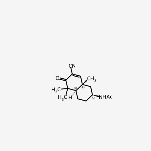 CC(=O)N[C@H]1CC[C@H]2C(C)(C)C(=O)C(C#N)=C[C@]2(C)C1